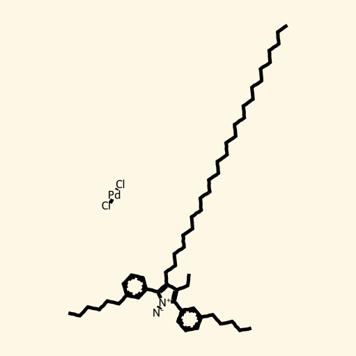 CCCCCCCCCCCCCCCCCCCCCCCCCCCCC1=C(c2cccc(CCCCCC)c2)[N+](=[N-])C(c2cccc(CCCCC)c2)=C1CC.[Cl][Pd][Cl]